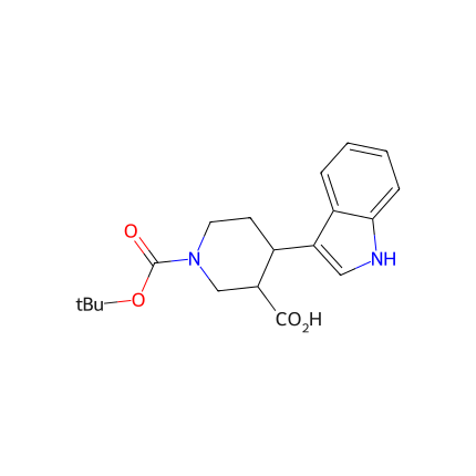 CC(C)(C)OC(=O)N1CCC(c2c[nH]c3ccccc23)C(C(=O)O)C1